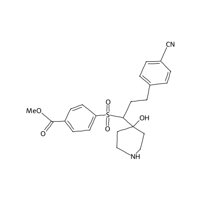 COC(=O)c1ccc(S(=O)(=O)C(CCc2ccc(C#N)cc2)C2(O)CCNCC2)cc1